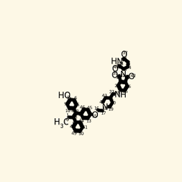 CCC(=C(c1ccc(O)cc1)c1ccc(OCCN2CCC(CNc3ccc4c(c3)C(=O)N(C3CCC(=O)NC3=O)C4=O)CC2)cc1)c1ccccc1